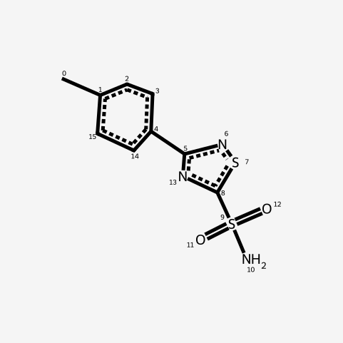 Cc1ccc(-c2nsc(S(N)(=O)=O)n2)cc1